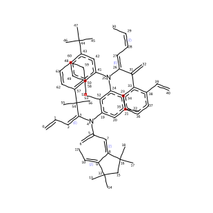 C=C/C=C(/N(C(=C)/C=C1\C(=C/C)C(C)(C)CC1(C)C)c1cc(C)cc(N(/C(=C/C=C\C)C(=C)c2ccccc2C=C)c2cc(C(C)(C)C)ccc2C)c1C)C(C)(C)C1=CCCC=C1